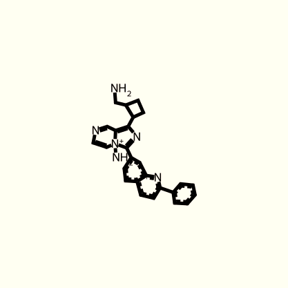 NCC1CCC1C1=C2C=NC=C[N+]2(N)C(c2ccc3ccc(-c4ccccc4)nc3c2)=N1